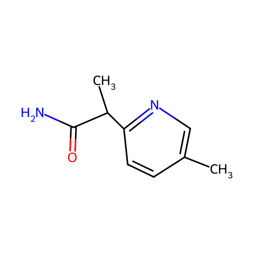 Cc1ccc(C(C)C(N)=O)nc1